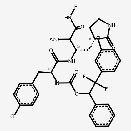 CCNC(=O)C(OC(C)=O)[C@H](C[C@@H]1CCNC1=O)NC(=O)[C@H](Cc1ccc(Cl)cc1)NC(=O)OC(c1ccccc1)C(F)(F)c1cccc(Cl)c1